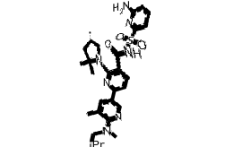 Cc1cc(-c2ccc(C(=O)NS(=O)(=O)c3cccc(N)n3)c(N3C[C@@H](C)CC3(C)C)n2)cnc1N(C)CC(C)C